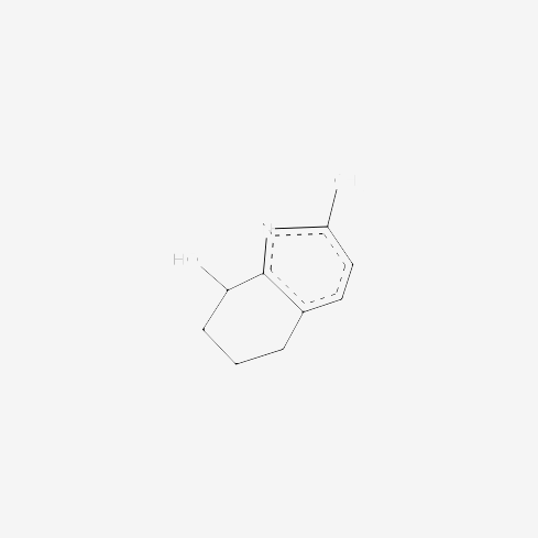 Cc1ccc2c(n1)C(O)CCC2